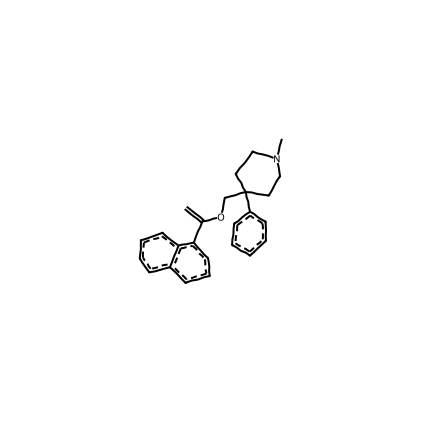 C=C(OCC1(c2ccccc2)CCN(C)CC1)c1cccc2ccccc12